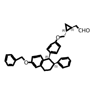 O=CC[C@@H]1C[C@H]1COc1ccc([C@@H]2c3ccc(OCc4ccccc4)cc3CC[C@@H]2c2ccccc2)cc1